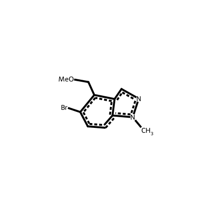 COCc1c(Br)ccc2c1cnn2C